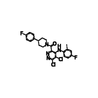 Cc1cc(F)ccc1Nc1c(C(=O)N2CCC(c3ccc(F)cc3)CC2)nnc(Cl)c1Cl